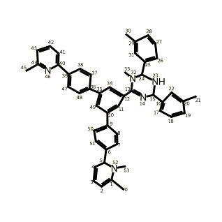 CC1=CC=CC(c2ccc(-c3cc(C4=NC(c5cccc(C)c5)NC(c5cccc(C)c5)N4C)cc(-c4ccc(-c5cccc(C)n5)cc4)c3)cc2)N1C